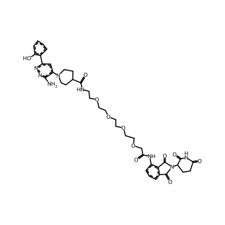 Nc1nnc(-c2ccccc2O)cc1N1CCC(C(=O)NCCOCCOCCOCCOCC(=O)Nc2cccc3c2C(=O)N(C2CCC(=O)NC2=O)C3=O)CC1